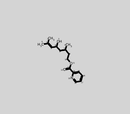 CC(C)=CC(O)CC(C)CCOC(=O)c1ccccn1